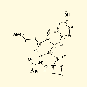 COCCN1CC2N(C(=O)OCC(C)C)OC3(CCC3)C(=O)N2[C@@H](Cc2ccc(O)cc2)C1=O